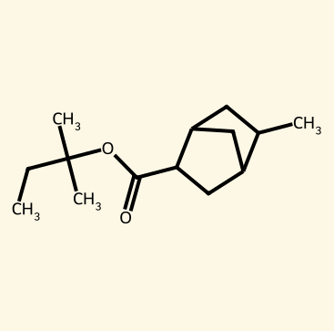 CCC(C)(C)OC(=O)C1CC2CC1CC2C